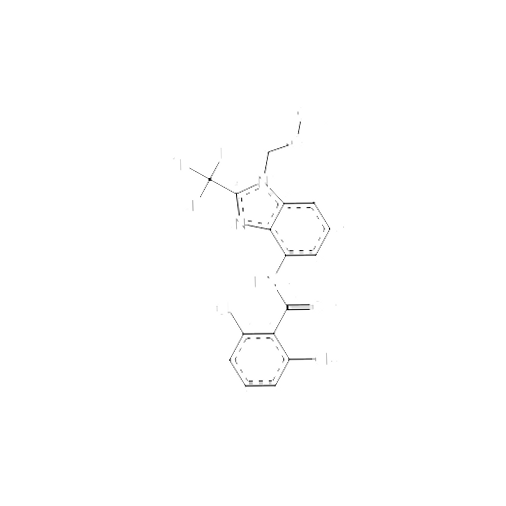 COCn1c(C(F)(F)F)nc2c(NC(=O)c3c(Cl)cccc3Cl)cccc21